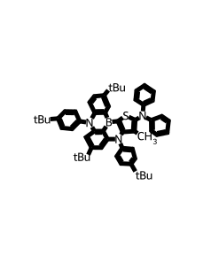 Cc1c(N(c2ccccc2)c2ccccc2)sc2c1N(c1ccc(C(C)(C)C)cc1)c1cc(C(C)(C)C)cc3c1B2c1cc(C(C)(C)C)ccc1N3c1ccc(C(C)(C)C)cc1